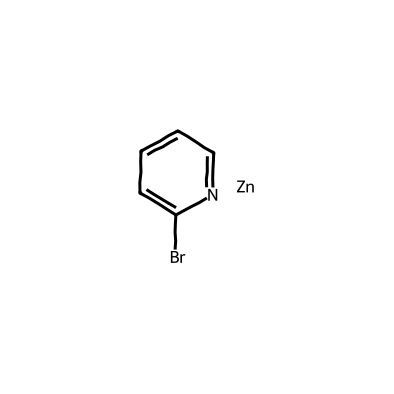 Brc1ccccn1.[Zn]